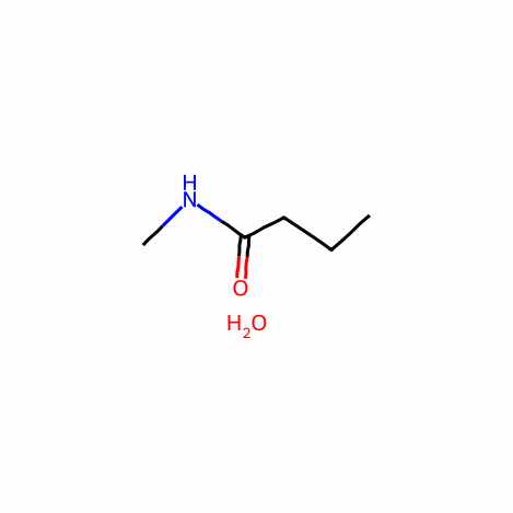 CCCC(=O)NC.O